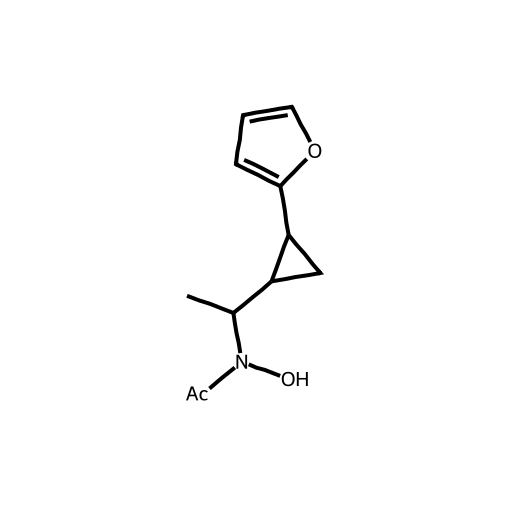 CC(=O)N(O)C(C)C1CC1c1ccco1